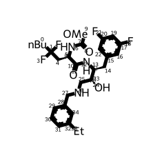 CCCCC(F)(F)C[C@@H](NC(=O)OC)C(=O)N[C@@H](Cc1cc(F)cc(F)c1)[C@H](O)CNCc1cccc(CC)c1